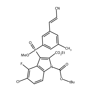 CCOC(=O)c1c(P(=O)(OC)c2cc(C)cc(/C=C/C#N)c2)c2c(F)c(Cl)ccc2n1C(=O)OC(C)(C)C